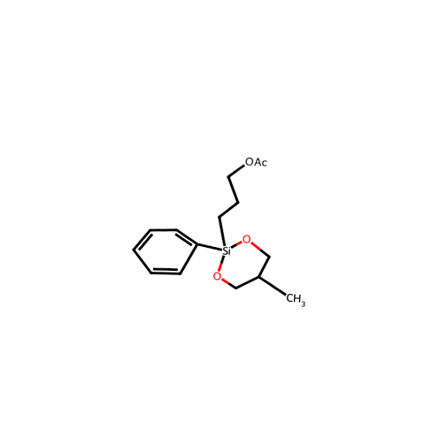 CC(=O)OCCC[Si]1(c2ccccc2)OCC(C)CO1